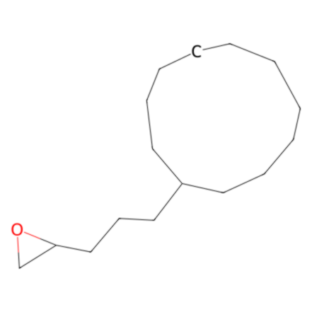 C1CCCCCC(CCCC2CO2)CCCC1